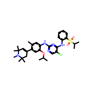 Cc1cc(Nc2ncc(Cl)c(Nc3ccccc3S(=O)(=O)C(C)C)n2)c(OC(C)C)cc1C1=CC(C)(C)N(C)C(C)(C)C1